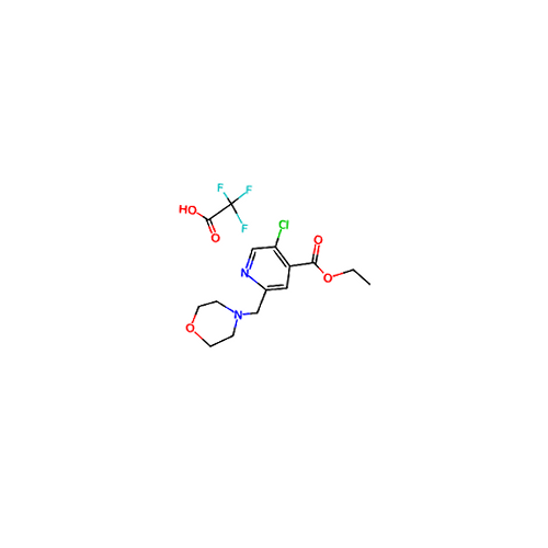 CCOC(=O)c1cc(CN2CCOCC2)ncc1Cl.O=C(O)C(F)(F)F